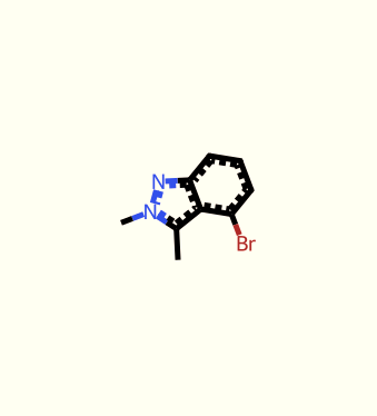 Cc1c2c(Br)cccc2nn1C